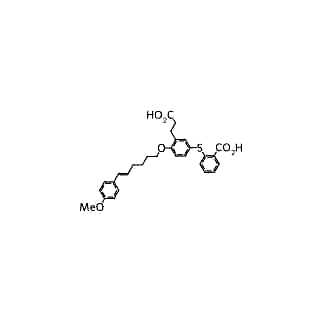 COc1ccc(C=CCCCCOc2ccc(Sc3ccccc3C(=O)O)cc2CCC(=O)O)cc1